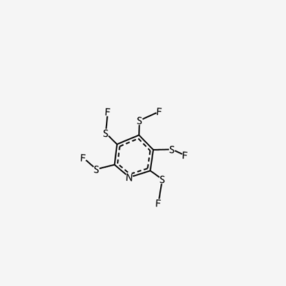 FSc1nc(SF)c(SF)c(SF)c1SF